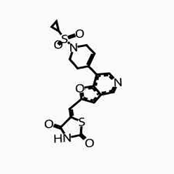 O=C1NC(=O)/C(=C/c2cc3cncc(C4=CCN(S(=O)(=O)C5CC5)CC4)c3o2)S1